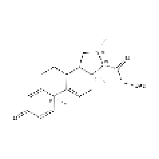 CC(=O)OCC(=O)[C@H]1[C@@H](C)CC2C3CCC4=CC(=O)C=C[C@]4(C)C3=CC[C@@]21C